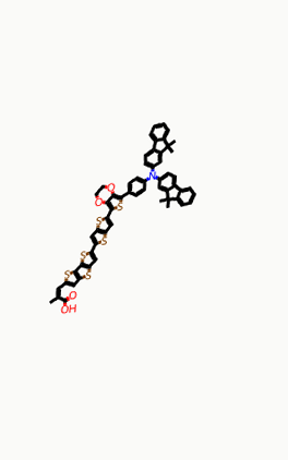 C/C(=C/c1cc2sc3cc(-c4cc5sc(-c6sc(-c7ccc(N(c8ccc9c(c8)C(C)(C)c8ccccc8-9)c8ccc9c(c8)C(C)(C)c8ccccc8-9)cc7)c7c6OCCO7)cc5s4)sc3c2s1)C(=O)O